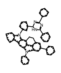 c1ccc(C2=NC(c3cccc(-n4c5ccccc5c5cc6c7c(c54)CCc4cc(-c5ccccc5)cc(c47)n6-c4ccccc4)c3)NC(c3ccccc3)=N2)cc1